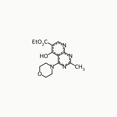 CCOC(=O)c1cnc2nc(C)nc(N3CCOCC3)c2c1O